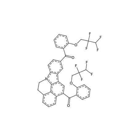 O=C(c1ccc2c(c1)c1cc(C(=O)c3ccccc3OCC(F)(F)C(F)F)c3cccc4c3c1n2CC4)c1ccccc1OCC(F)(F)C(F)F